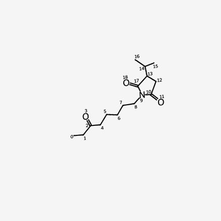 CCC(=O)CCCCCN1C(=O)CC(C(C)C)C1=O